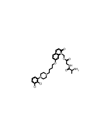 CC(N)C(=O)NCC(=O)OCn1c(=O)ccc2ccc(OCCCCN3CCN(c4cccc(Cl)c4Cl)CC3)cc21